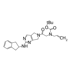 C=CCN(CC(=O)N1Cc2cnc(NC3Cc4ccccc4C3)nc2C1)C(=O)OC(C)(C)C